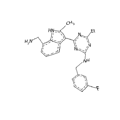 CCc1nc(NCc2cccc(F)c2)nc(-c2c(C)[nH]c3c(CN)cccc23)n1